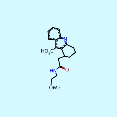 COCCNC(=O)CC1CCCc2nc3ccccc3c(C(=O)O)c21